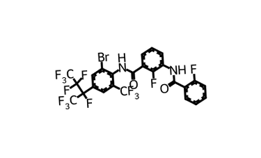 O=C(Nc1cccc(C(=O)Nc2c(Br)cc(C(F)(C(F)(F)F)C(F)(F)C(F)(F)F)cc2C(F)(F)F)c1F)c1ccccc1F